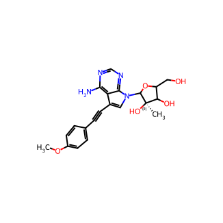 COc1ccc(C#Cc2cn(C3OC(CO)C(O)[C@@]3(C)O)c3ncnc(N)c23)cc1